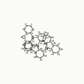 c1ccc2c(c1)Oc1ccccc1B2c1ccccc1-n1c2ccccc2c2cccc(-n3c4ccccc4c4ccccc43)c21